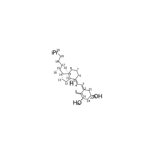 C=C1/C(=C\C=C2CCC[C@@]3(C)[C@@H]2CC[C@@H]3[C@H](C)CCCC(C)C)C[C@@H](O)C[C@H]1O